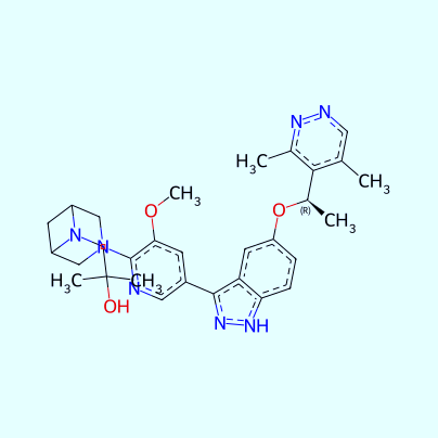 COc1cc(-c2n[nH]c3ccc(O[C@H](C)c4c(C)cnnc4C)cc23)cnc1N1CC2CC(C1)N2CC(C)(C)O